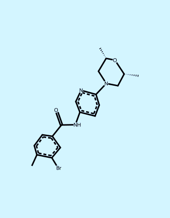 Cc1ccc(C(=O)Nc2ccc(N3C[C@@H](C)O[C@@H](C)C3)nc2)cc1Br